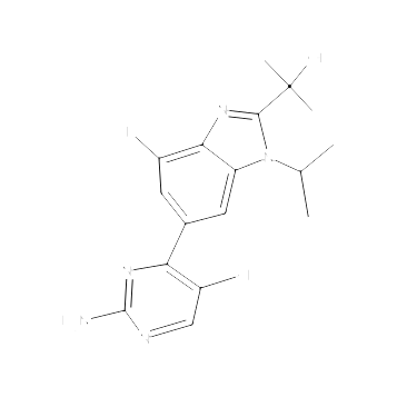 CC(C)n1c(C(C)(C)O)nc2c(F)cc(-c3nc(N)ncc3Cl)cc21